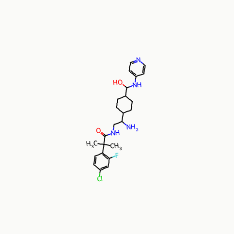 CC(C)(C(=O)NCC(N)C1CCC(C(O)Nc2ccncc2)CC1)c1ccc(Cl)cc1F